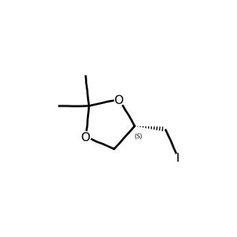 CC1(C)OC[C@@H](CI)O1